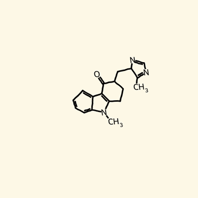 CC1=NC=NC1CC1CCc2c(c3ccccc3n2C)C1=O